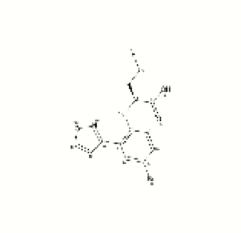 O=C(O)[C@H](CCF)Oc1ccc(Br)cc1-c1ccon1